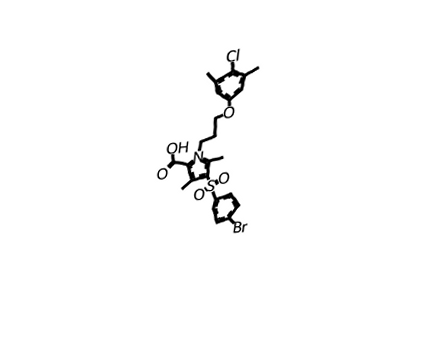 Cc1cc(OCCCn2c(C)c(S(=O)(=O)c3ccc(Br)cc3)c(C)c2C(=O)O)cc(C)c1Cl